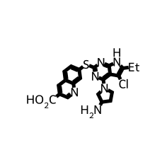 CCc1[nH]c2nc(Sc3ccc4cc(C(=O)O)cnc4c3)nc(N3CCC(N)C3)c2c1Cl